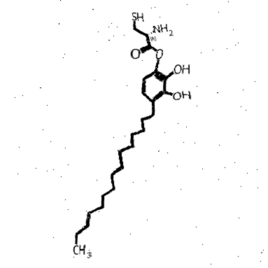 CCCCCCCCCCCCCCCc1ccc(OC(=O)[C@@H](N)CS)c(O)c1O